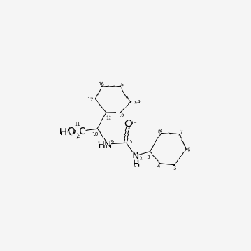 O=C(NC1CCCCC1)NC(C(=O)O)C1CCCCC1